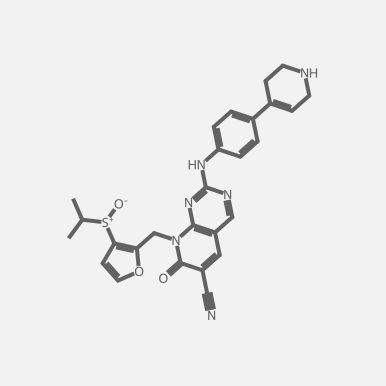 CC(C)[S+]([O-])c1ccoc1Cn1c(=O)c(C#N)cc2cnc(Nc3ccc(C4=CCNCC4)cc3)nc21